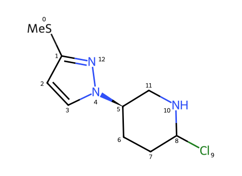 CSc1ccn([C@@H]2CCC(Cl)NC2)n1